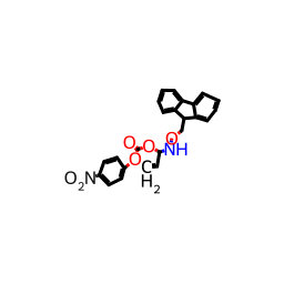 C=CC(NOCC1c2ccccc2-c2ccccc21)OC(=O)Oc1ccc([N+](=O)[O-])cc1